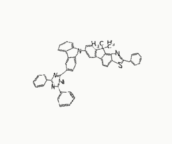 CC1(C)c2ccc(-n3c4ccccc4c4cc(-c5nc(-c6ccccc6)nc(-c6ccccc6)n5)ccc43)cc2-c2ccc3sc(-c4ccccc4)nc3c21